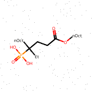 CCCCCCCCOC(=O)CCC(CC)(CCCCCCCC)P(=O)(O)O